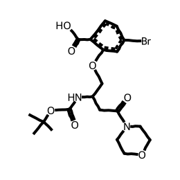 CC(C)(C)OC(=O)NC(COc1cc(Br)ccc1C(=O)O)CC(=O)N1CCOCC1